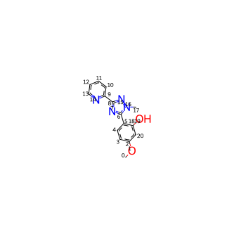 COc1ccc(-c2nc(-c3ccccn3)nn2C)c(O)c1